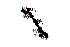 Cc1cc(C)cc(N(c2ccc3c(c2)C(C)(C)c2cc(/C=C/c4ccc5c(c4)C(C)(C)c4cc(/C=C/c6ccc7c(c6)C(C)(C)c6cc(N(c8cc(C)cc(C)c8)c8ccc9sc%10ccccc%10c9c8)ccc6-7)ccc4-5)ccc2-3)c2ccc3sc4ccccc4c3c2)c1